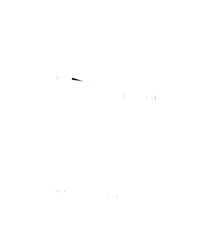 CCCCCC[P@@](C)c1ccccc1[P@](C)CCCCCC